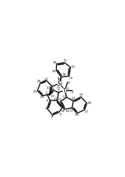 [CH3][Ti]([CH3])([CH]1C=Cc2ccccc21)([CH]1C=Cc2ccccc21)[SiH](c1ccccc1)c1ccccc1